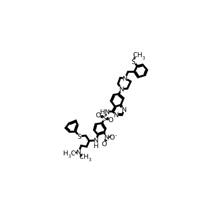 CSc1ccccc1CN1CCN(c2ccc3c(NS(=O)(=O)c4ccc(NC(CCN(C)C)CSc5ccccc5)c([N+](=O)[O-])c4)ncnc3c2)CC1